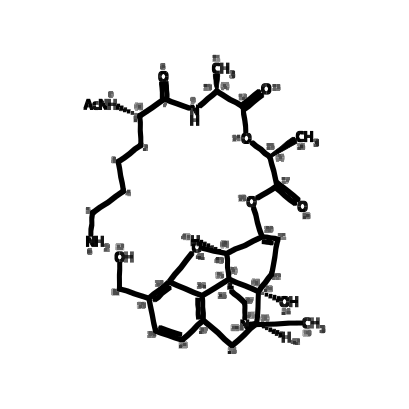 CC(=O)N[C@@H](CCCCN)C(=O)N[C@@H](C)C(=O)O[C@@H](C)C(=O)OC1=CC[C@@]2(O)[C@H]3Cc4ccc(CO)c5c4[C@@]2(CCN3C)[C@H]1O5